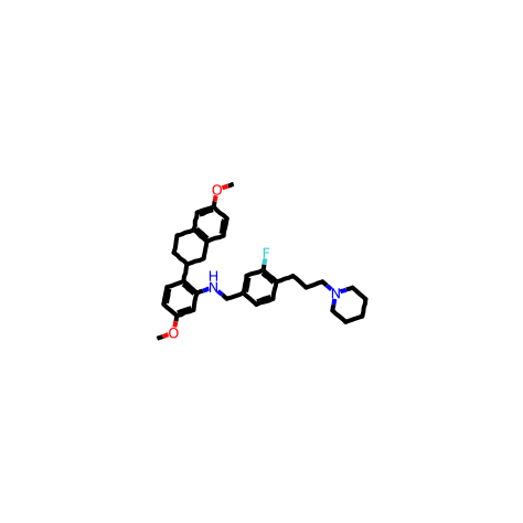 COc1ccc2c(c1)CCC(c1ccc(OC)cc1NCc1ccc(CCCN3CCCCC3)c(F)c1)C2